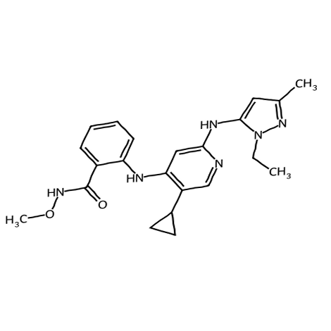 CCn1nc(C)cc1Nc1cc(Nc2ccccc2C(=O)NOC)c(C2CC2)cn1